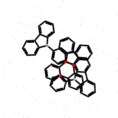 c1ccc(-n2c3ccccc3c3ccc4c5ccccc5n(-c5ccccc5-c5ccccc5-n5c6ccccc6c6cc(-n7c8ccccc8c8ccccc87)ccc65)c4c32)cc1